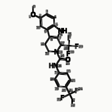 COc1ccc2[nH]c3c(c2c1)CCN(C(=O)Nc1ccc(C(F)(F)F)cc1)C3C(F)(F)F